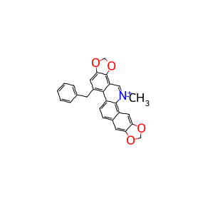 C[n+]1cc2c3c(cc(Cc4ccccc4)c2c2ccc4cc5c(cc4c21)OCO5)OCO3